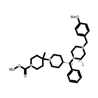 COc1ccc(CN2CCN([C@H](c3ccccc3)C3CCN(C4(C)CCN(C(=O)OC(C)(C)C)CC4)CC3)[C@@H](C)C2)cc1